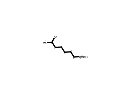 CCCCCCCCCCCCC(C(C)=O)C(C)=O